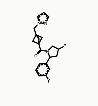 O=C(N1CC(F)CC1c1cccc(F)c1)C12CC(Cn3cccn3)(C1)C2